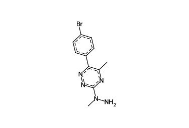 Cc1nc(N(C)N)nnc1-c1ccc(Br)cc1